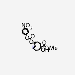 COC(=O)[C@]1(O)CC/C=C/[C@H](OC(=O)Oc2ccc([N+](=O)[O-])cc2)CC1